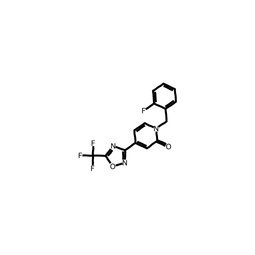 O=c1cc(-c2noc(C(F)(F)F)n2)ccn1Cc1ccccc1F